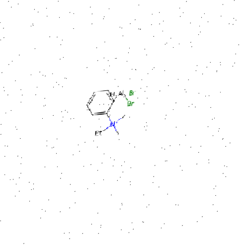 CC[N+](C)(C)c1ccccc1.[AlH2][Br].[Br-]